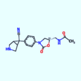 CC(=O)NC[C@H]1CN(c2ccc(C3(C#N)C4CNCC43)cc2)C(=O)O1